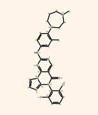 Cc1cc(Nc2ncc3c(=O)n(-c4c(F)cccc4Cl)c4nccn4c3n2)ccc1N1CCCN(C)CC1